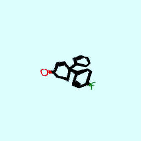 O=C1C=CC(c2ccccc2)(c2ccc(F)cc2)CC1